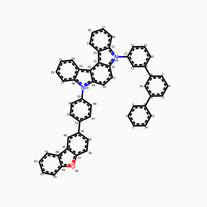 c1ccc(-c2cccc(-c3cccc(-n4c5ccccc5c5c6c7ccccc7n(-c7ccc(-c8ccc9oc%10ccccc%10c9c8)cc7)c6ccc54)c3)c2)cc1